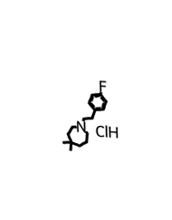 CC1(C)CCCN(CCc2ccc(F)cc2)CC1.Cl